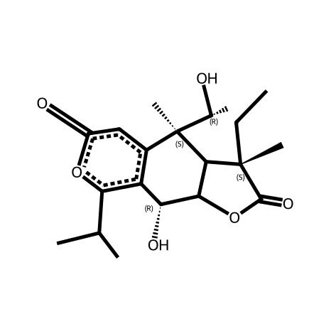 CC[C@]1(C)C(=O)OC2C1[C@](C)([C@@H](C)O)c1cc(=O)oc(C(C)C)c1[C@H]2O